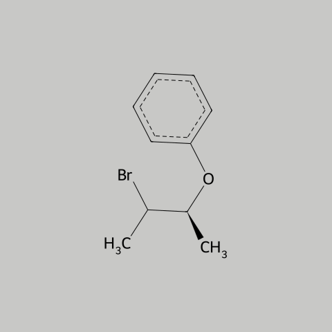 CC(Br)[C@H](C)Oc1ccccc1